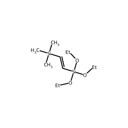 CCO[Si](C=C[Si](C)(C)C)(OCC)OCC